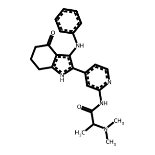 CC(C(=O)Nc1cc(-c2[nH]c3c(c2Nc2ccccc2)C(=O)CCC3)ccn1)N(C)C